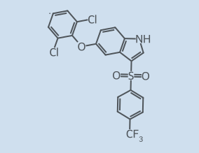 O=S(=O)(c1ccc(C(F)(F)F)cc1)c1c[nH]c2ccc(Oc3c(Cl)c[c]cc3Cl)cc12